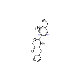 C=C(/C=C\C(=C/C)C1NC(Cc2ccsc2)C(=O)CO1)CC(C)C